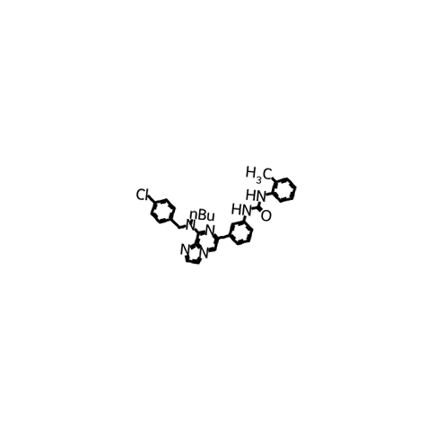 CCCCN(Cc1ccc(Cl)cc1)c1nc(-c2cccc(NC(=O)Nc3ccccc3C)c2)cn2ccnc12